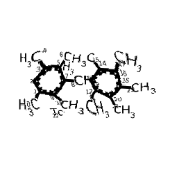 Cc1cc(C)c(C)c(C)c1C.Cc1cc(C)c(C)c(C)c1C.[Tc]